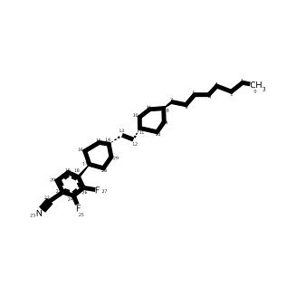 CCCCCCCC[C@H]1CC[C@H](CC[C@H]2CC[C@H](c3ccc(C#N)c(F)c3F)CC2)CC1